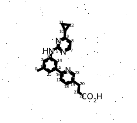 Cc1cc(Nc2nccc(C3CC3)n2)cc(-c2ccc(CCC(=O)O)cn2)c1